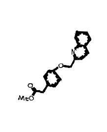 COC(=O)Cc1ccc(OCc2ccc3ccccc3n2)cc1